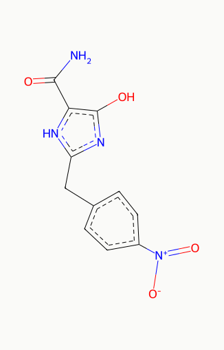 NC(=O)c1[nH]c(Cc2ccc([N+](=O)[O-])cc2)nc1O